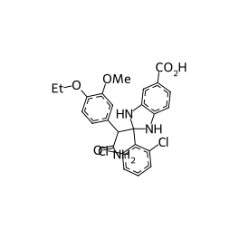 CCOc1ccc(C(C(N)=O)C2(c3c(Cl)cccc3Cl)Nc3ccc(C(=O)O)cc3N2)cc1OC